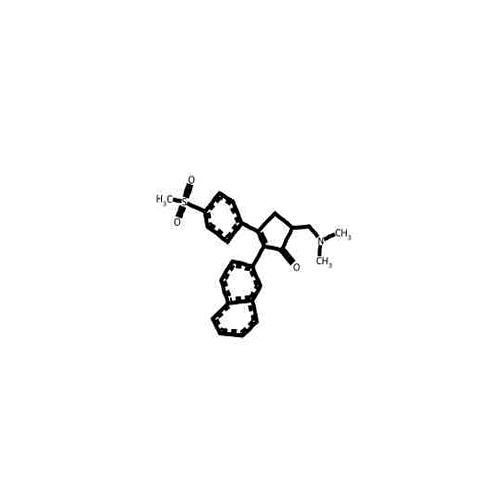 CN(C)CC1CC(c2ccc(S(C)(=O)=O)cc2)=C(c2ccc3ccccc3c2)C1=O